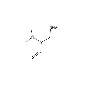 CC(=O)NCC([C]=S)N(C)C